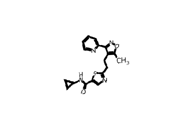 Cc1onc(-c2ccccn2)c1CCc1ncc(C(=O)NC2CC2)s1